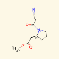 COC(=O)C[C@@H]1CCCN1C(=O)CC#N